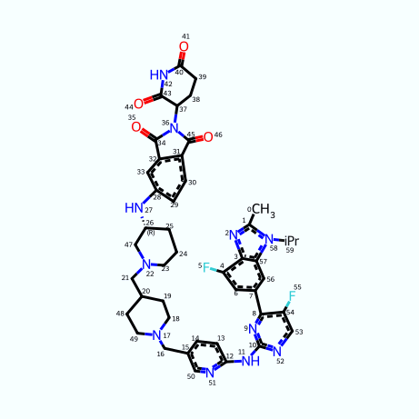 Cc1nc2c(F)cc(-c3nc(Nc4ccc(CN5CCC(CN6CCC[C@@H](Nc7ccc8c(c7)C(=O)N(C7CCC(=O)NC7=O)C8=O)C6)CC5)cn4)ncc3F)cc2n1C(C)C